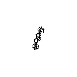 CC1(C)OB(c2ccc3c(c2)oc2cc(B4OC(C)(C)C(C)(C)O4)ccc23)OC1(C)C